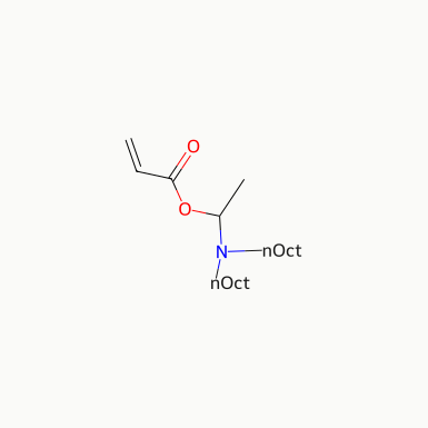 C=CC(=O)OC(C)N(CCCCCCCC)CCCCCCCC